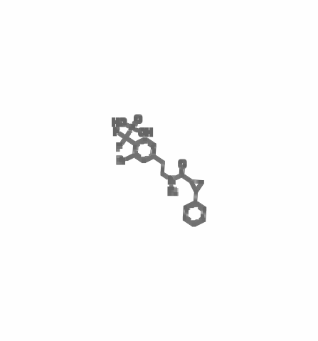 CCN(CCc1ccc(C(F)(F)P(=O)(O)O)c(Br)c1)C(=O)C1CC1c1ccccc1